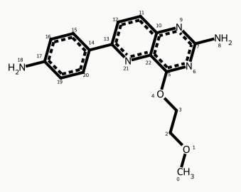 COCCOc1nc(N)nc2ccc(-c3ccc(N)cc3)nc12